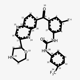 O=C(Nc1cc(F)cc(C(=O)c2ccc3ncc(C4CNCCO4)nc3c2)c1)Nc1cccc(C(F)(F)F)c1